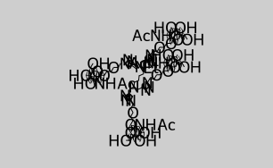 CCC(CCCCN(Cc1cn(CCOCCO[C@@H]2O[C@H](CO)[C@H](O)[C@H](O)[C@H]2NC(C)=O)nn1)Cc1cn(CCOCCO[C@@H]2O[C@H](CO)[C@H](O)[C@H](O)[C@H]2NC(C)=O)nn1)N(Cc1cn(CCOCCO[C@@H]2O[C@H](CO)[C@H](O)[C@H](O)[C@H]2NC(C)=O)nn1)Cc1cn(CCOCCO[C@@H]2O[C@H](CO)[C@H](O)[C@H](O)[C@H]2NC(C)=O)nn1